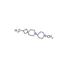 CC1CC2(CCN(C3CCN(C)CC3)CC2)C1